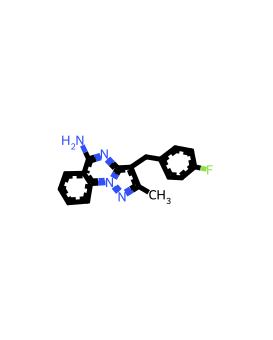 Cc1nn2c(nc(N)c3ccccc32)c1Cc1ccc(F)cc1